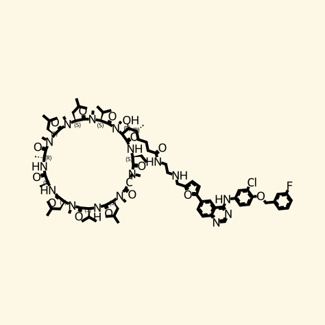 CC[C@@H]1NC(=O)C([C@H](O)[C@H](C)CCCC(=O)NCCNCc2ccc(-c3ccc4ncnc(Nc5ccc(OCc6cccc(F)c6)c(Cl)c5)c4c3)o2)N(C)C(=O)[C@H](C(C)C)N(C)C(=O)[C@H](CC(C)C)N(C)C(=O)[C@H](CC(C)C)N(C)C(=O)[C@@H](C)NC(=O)[C@H](C)NC(=O)[C@H](CC(C)C)N(C)C(=O)[C@H](C(C)C)NC(=O)[C@H](CC(C)C)N(C)C(=O)CN(C)C1=O